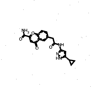 NC(=O)c1cc(=O)c2cc(CC(=O)Nc3cc(C4CC4)[nH]n3)ccc2o1